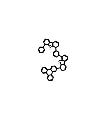 C1=Cc2c(sc3c(-c4ccccc4)cccc23)C(c2cccc(-c3cccc4c5c(sc34)C(c3ccc4c6ccccc6c6ccccc6c4c3)CC=C5)c2)C1